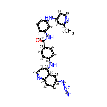 Cc1cc(Nc2cccc(NC(=O)c3ccc(Nc4ccnc5ccc(N=[N+]=[N-])cc45)cc3)c2)ccn1